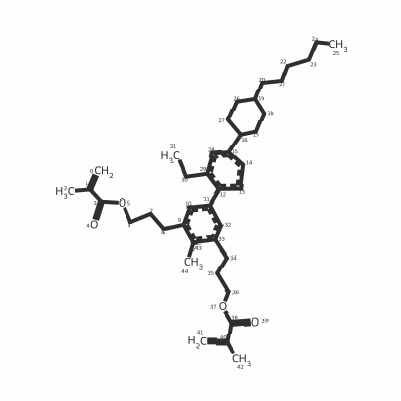 C=C(C)C(=O)OCCCc1cc(-c2ccc(C3CCC(CCCCCC)CC3)cc2CC)cc(CCCOC(=O)C(=C)C)c1C